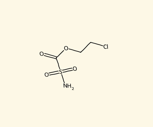 NS(=O)(=O)C(=O)OCCCl